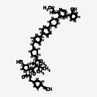 C#Cc1ccc(CNC(=O)[C@@H]2C[C@@H](O)CN2C(=O)[C@@H](NC(=O)N2CCN(Cc3ccc(-c4cnc(N5CCN(c6cc(-c7ccccc7O)nnc6NCC)CC5)nc4)cc3)CC2)C(C)(C)C)cc1